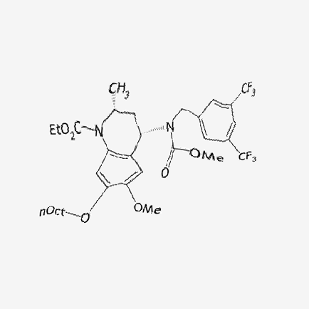 CCCCCCCCOc1cc2c(cc1OC)[C@@H](N(Cc1cc(C(F)(F)F)cc(C(F)(F)F)c1)C(=O)OC)C[C@@H](C)N2C(=O)OCC